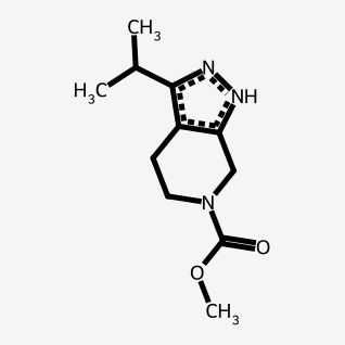 COC(=O)N1CCc2c(C(C)C)n[nH]c2C1